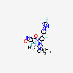 C[C@@H]1CN(c2cc(F)c(C3=CCN(c4ncc(F)cn4)CC3)cc2NC(=O)c2c[nH]c(=O)cc2C(F)(F)F)C[C@H](C)N1C